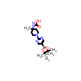 CC1(NC(=O)O)CCN(c2ncc(B3OC(C)(C)C(C)(C)O3)cn2)CC1